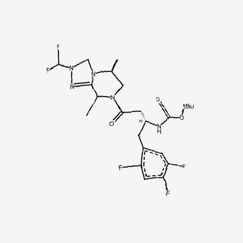 CC1CN(C(=O)C[C@@H](Cc2cc(F)c(F)cc2F)NC(=O)OC(C)(C)C)C(C)C2=NN(C(F)F)CN21